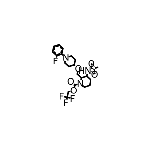 CS(=O)(=O)NC1CCCN(C(=O)OCC(F)(F)F)C1COC1CCN(c2ccccc2F)CC1